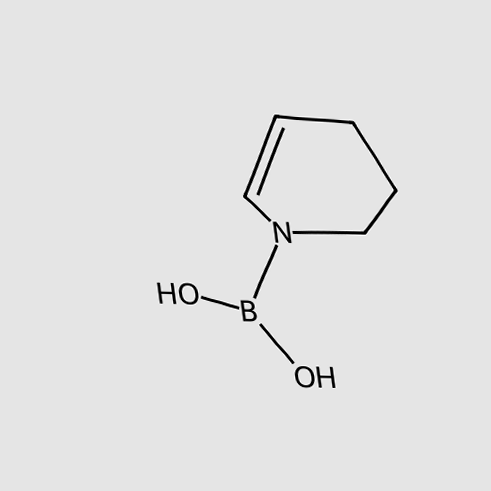 OB(O)N1C=CCCC1